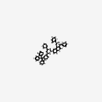 c1ccc(-c2cc(-c3ccc4c(c3)C(c3ccccc3)(c3ccccc3)c3ccccc3-4)nc(-c3ccc4ccc5c(-c6ccccc6)nc(-c6ccccc6)nc5c4c3)n2)cc1